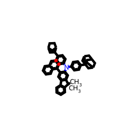 CC1(C)c2ccccc2-c2cc(-c3cccc4ccccc34)c(N(c3ccc(C4CC5CCC4C5)cc3)c3ccc(C45CC6CC(CC(C6)C4)C5)cc3)cc21